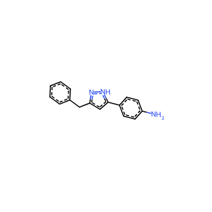 Nc1ccc(-c2cc(Cc3ccccc3)n[nH]2)cc1